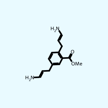 COC(=O)c1cc(CC=CN)ccc1CC=CN